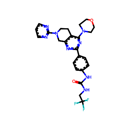 O=C(NCC(F)(F)F)Nc1ccc(-c2nc3c(c(N4CCOCC4)n2)CCN(c2ncccn2)C3)cc1